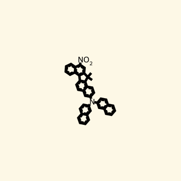 CC1(C)c2cc([N+](=O)[O-])c3ccccc3c2-c2ccc3cc(N(c4ccc5ccccc5c4)c4ccc5ccccc5c4)ccc3c21